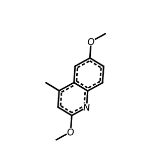 COc1ccc2nc(OC)cc(C)c2c1